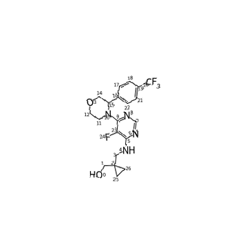 OCC1(CNc2ncnc(N3CCOCC3c3ccc(C(F)(F)F)cc3)c2F)CC1